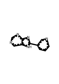 [c]1ncccc1-c1nc2ncncc2[nH]1